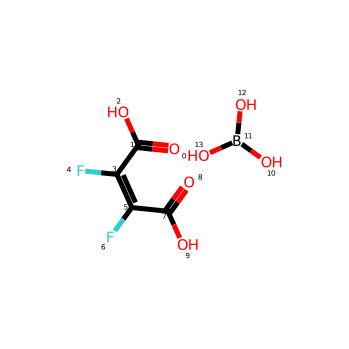 O=C(O)/C(F)=C(/F)C(=O)O.OB(O)O